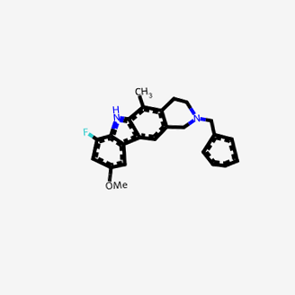 COc1cc(F)c2[nH]c3c(C)c4c(cc3c2c1)CN(Cc1ccccc1)CC4